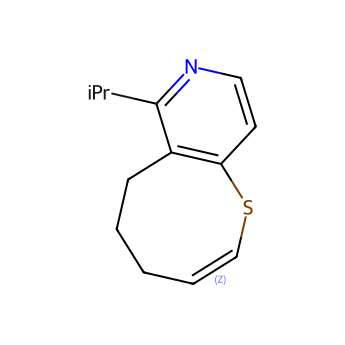 CC(C)c1nccc2c1CCC/C=C\S2